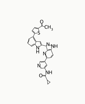 CC(=O)c1ccc(-c2cccc3[nH]c(-c4n[nH]c5ccc(-c6cncc(NC(=O)C7CC7)c6)nc45)cc23)s1